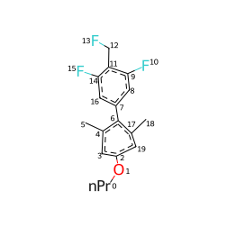 CCCOc1cc(C)c(-c2cc(F)c(CF)c(F)c2)c(C)c1